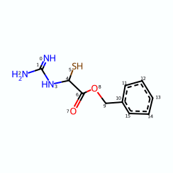 N=C(N)NC(S)C(=O)OCc1ccccc1